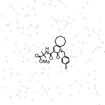 COC(=O)C(C)(C)NC(=O)c1cc2c(n(Cc3ccc(F)cc3)c1=O)CCCCCC2